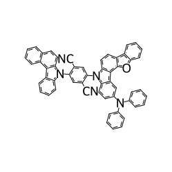 N#Cc1cc(-n2c3ccc(N(c4ccccc4)c4ccccc4)cc3c3c4oc5ccccc5c4ccc32)c(C#N)cc1-n1c2ccccc2c2c3ccccc3ccc21